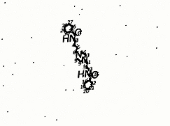 O=C(NCCCCN1CCN(CCCNC(=O)C2CCCCC2)CC1)C1CCCCC1